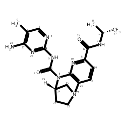 Cc1cnc(NC(=O)N2c3nc(C(=O)N[C@H](C)C(F)(F)F)ccc3N3CC[C@H]2C3)nc1N